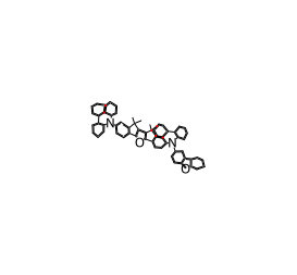 CC1(C)c2cc(N(c3ccccc3)c3ccccc3-c3ccccc3)ccc2-c2oc3c(c21)C(C)(C)c1cc(N(c2ccc4oc5ccccc5c4c2)c2ccccc2-c2ccccc2)ccc1-3